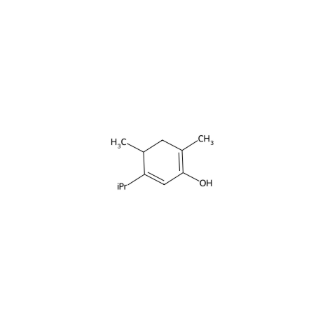 CC1=C(O)C=C(C(C)C)C(C)C1